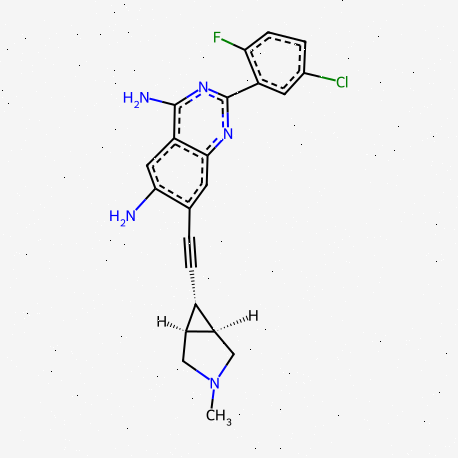 CN1C[C@@H]2[C@@H](C#Cc3cc4nc(-c5cc(Cl)ccc5F)nc(N)c4cc3N)[C@@H]2C1